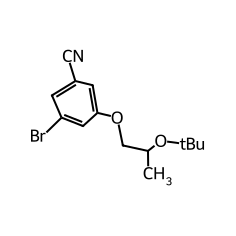 CC(COc1cc(Br)cc(C#N)c1)OC(C)(C)C